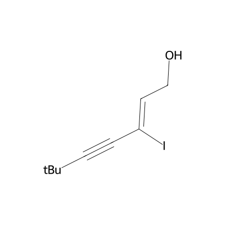 CC(C)(C)C#C/C(I)=C/CO